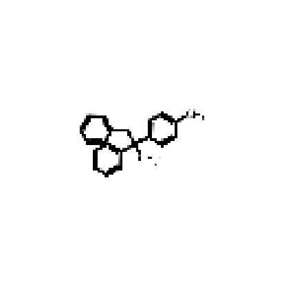 [CH2]C(Cc1ccccc1)(c1ccccc1)c1ccc(C)cc1